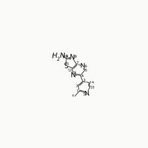 Cc1cc(-c2cnc3nc(N)sc3n2)ccn1